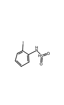 O=[SH](=O)Nc1ccccc1I